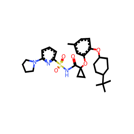 Cc1ccc(OC2CCC(C(C)(C)C)CC2)c(OC2(C(=O)NS(=O)(=O)c3cccc(N4CCCC4)n3)CC2)c1